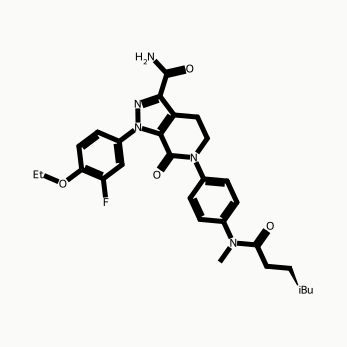 CCOc1ccc(-n2nc(C(N)=O)c3c2C(=O)N(c2ccc(N(C)C(=O)CC[C@H](C)CC)cc2)CC3)cc1F